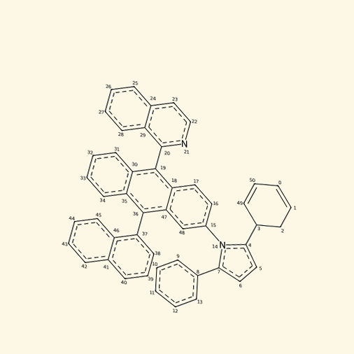 C1=CCC(c2ccc(-c3ccccc3)n2-c2ccc3c(-c4nccc5ccccc45)c4ccccc4c(-c4cccc5ccccc45)c3c2)C=C1